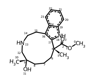 COC(=O)[C@]1(C)CCC[C@](C)(O)CNCCc2c1[nH]c1ccccc21